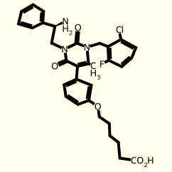 Cc1c(-c2cccc(OCCCCCC(=O)O)c2)c(=O)n(C[C@H](N)c2ccccc2)c(=O)n1Cc1c(F)cccc1Cl